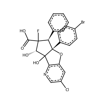 O=C(O)C1(F)[C@@H](O)C2(O)c3ncc(Cl)cc3O[C@@]2(c2ccc(Br)cc2)[C@@H]1c1ccccc1